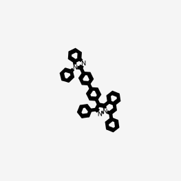 c1ccc(-c2nn3c(-c4ccccc4)cc4ccccc4c3c2-c2ccc(-c3ccc(-c4nc5ccccc5n4-c4ccccc4)cc3)cc2)cc1